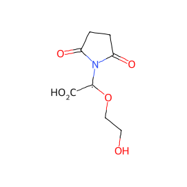 O=C(O)[C](OCCO)N1C(=O)CCC1=O